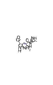 C=C/C(=C\c1c(-c2ccoc2)c[nH]c1N)C(=O)NN(C=N)C=C(C)C